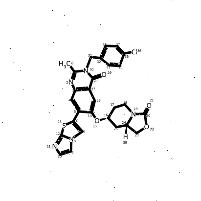 Cc1nc2cc(-c3cn4ccnc4s3)c(O[C@H]3CCN4C(=O)OC[C@@H]4C3)cc2c(=O)n1Cc1ccc(Cl)cc1